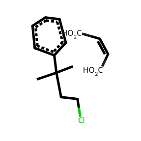 CC(C)(CCCl)c1ccccc1.O=C(O)/C=C\C(=O)O